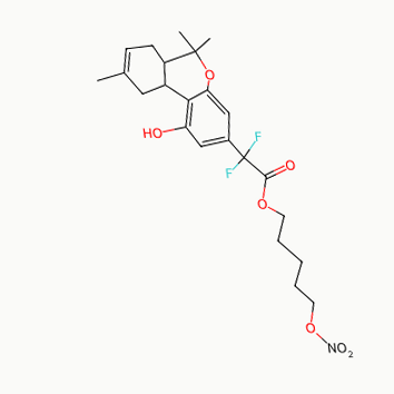 CC1=CCC2C(C1)c1c(O)cc(C(F)(F)C(=O)OCCCCCO[N+](=O)[O-])cc1OC2(C)C